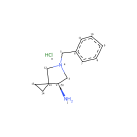 Cl.N[C@@H]1CN(Cc2ccccc2)CC12CC2